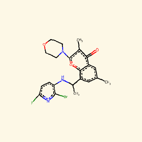 Cc1cc(C(C)Nc2ccc(F)nc2Br)c2oc(N3CCOCC3)c(C)c(=O)c2c1